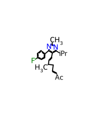 CC(=O)/C=C/C[C@H](C)/C=C/c1c(-c2ccc(F)cc2)nc(C)nc1C(C)C